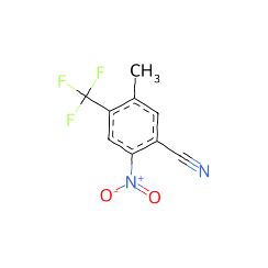 Cc1cc(C#N)c([N+](=O)[O-])cc1C(F)(F)F